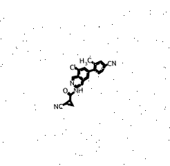 Cc1cc(C#N)ccc1-c1cc(Cl)c2cnc(NC(=O)C3CC3C#N)cc2c1